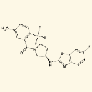 Cc1ccc(C(F)(F)F)c(C(=O)N2CC[C@@H](Nc3nc4ccc(F)cc4s3)C2)c1